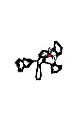 CCc1nc2ccccc2n1-c1ccccc1-c1c2ccccc2c(-c2ccc3ccccc3c2)c2ccccc12